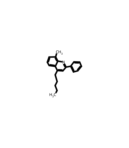 CCCCCc1cc(-c2ccccc2)nc2c(C)cccc12